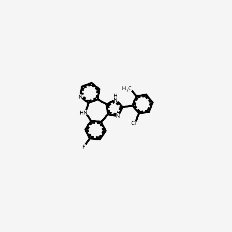 Cc1cccc(Cl)c1-c1nc2c([nH]1)-c1cccnc1Nc1cc(F)ccc1-2